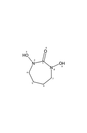 O=C1N(O)CCCCN1O